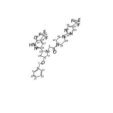 O=C(CN1CC(OCc2ccccc2)CC1c1cc(C(F)(F)F)c(=O)[nH]n1)N1CCN(c2ncc(C(F)(F)F)cn2)CC1